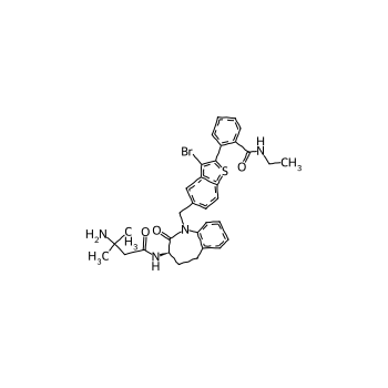 CCNC(=O)c1ccccc1-c1sc2ccc(CN3C(=O)[C@H](NC(=O)CC(C)(C)N)CCc4ccccc43)cc2c1Br